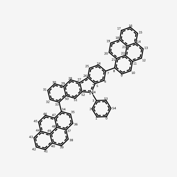 c1ccc(-n2c3cc(-c4ccc5ccc6cccc7ccc4c5c67)ccc3c3cc4cccc(-c5ccc6ccc7cccc8ccc5c6c78)c4cc32)cc1